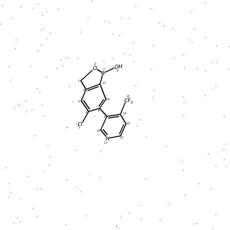 OB1OCc2cc(Cl)c(-c3cnccc3C(F)(F)F)cc21